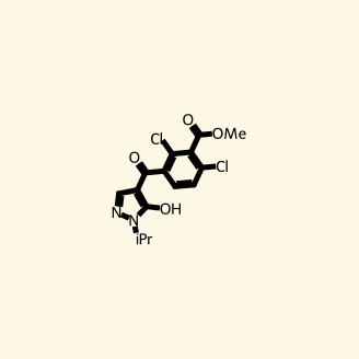 COC(=O)c1c(Cl)ccc(C(=O)c2cnn(C(C)C)c2O)c1Cl